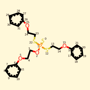 S=P(OCCOc1ccccc1)(SCCOc1ccccc1)SCCOc1ccccc1